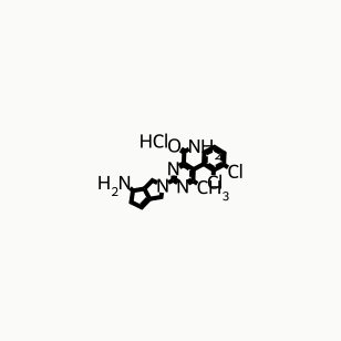 Cc1nc(N2CC3=CCC(N)C3C2)nc(C(N)=O)c1-c1cccc(Cl)c1Cl.Cl